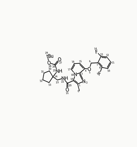 Cc1nc2c(OCc3c(F)cccc3F)cccn2c1C(=O)NCC1(NC(=O)OC(C)(C)C)CCCC1